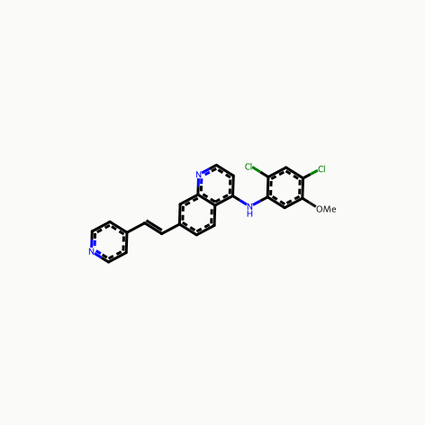 COc1cc(Nc2ccnc3cc(C=Cc4ccncc4)ccc23)c(Cl)cc1Cl